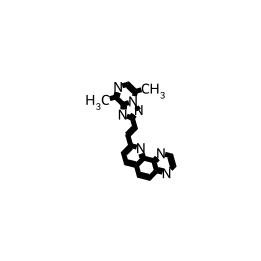 Cc1ncc(C)n2nc(C=Cc3ccc4ccc5nccnc5c4n3)nc12